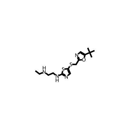 CCNCCNc1ncc(SCc2ncc(C(C)(C)C)o2)s1